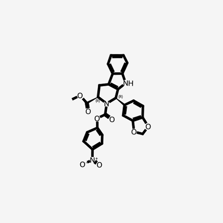 COC(=O)[C@H]1Cc2c([nH]c3ccccc23)[C@@H](c2ccc3c(c2)OCO3)N1C(=O)Oc1ccc([N+](=O)[O-])cc1